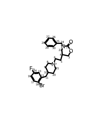 O=C1OCC(CCN2CCC(Cc3cc(F)ccc3Br)CC2)CN1Cc1ccccc1